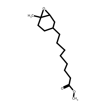 COC(=O)CCCCCCCC1CCC2(C)OC2C1